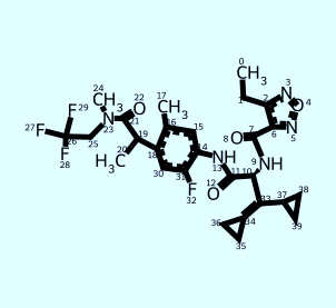 CCc1nonc1C(=O)N[C@H](C(=O)Nc1cc(C)c(C(C)C(=O)N(C)CC(F)(F)F)cc1F)C(=C1CC1)C1CC1